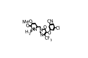 COc1cc(Cn2cnc(C(F)(F)F)c(Oc3cc(Cl)cc(C#N)c3)c2=O)nn(P)c1=O